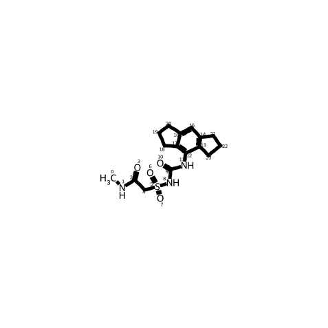 CNC(=O)CS(=O)(=O)NC(=O)Nc1c2c(cc3c1CCC3)CCC2